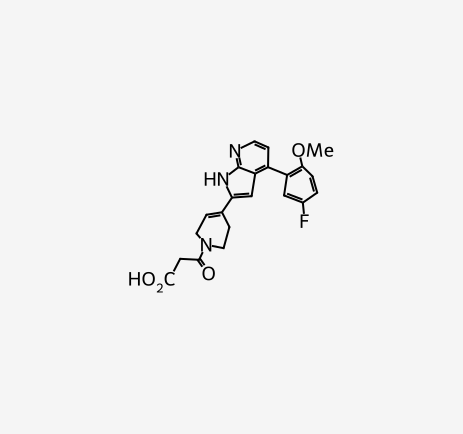 COc1ccc(F)cc1-c1ccnc2[nH]c(C3=CCN(C(=O)CC(=O)O)CC3)cc12